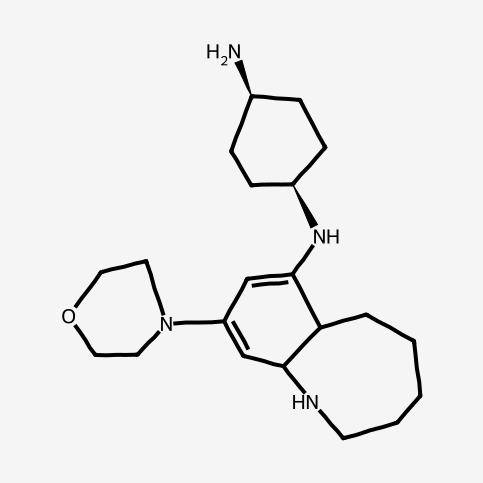 N[C@H]1CC[C@@H](NC2=CC(N3CCOCC3)=CC3NCCCCCC23)CC1